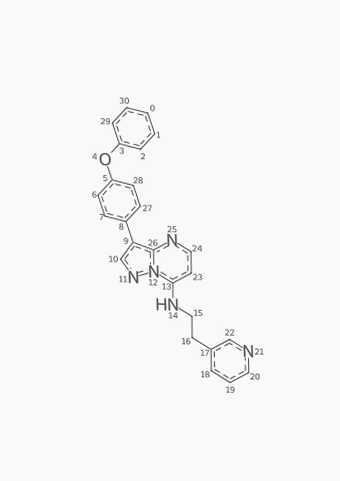 c1ccc(Oc2ccc(-c3cnn4c(NCCc5cccnc5)ccnc34)cc2)cc1